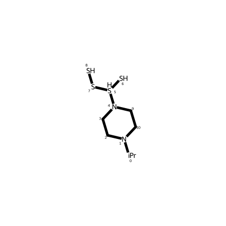 CC(C)N1CCN([SH](S)SS)CC1